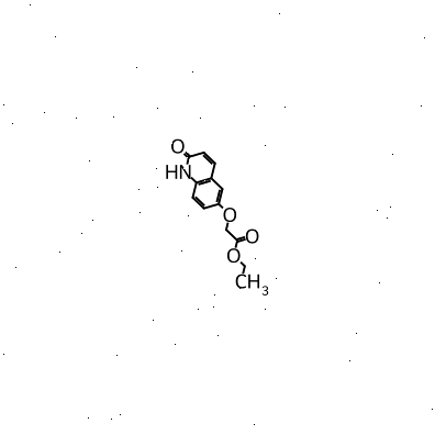 CCOC(=O)COc1ccc2[nH]c(=O)ccc2c1